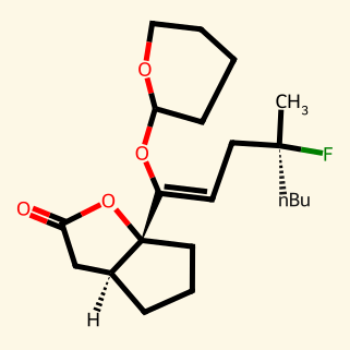 CCCC[C@](C)(F)CC=C(OC1CCCCO1)[C@@]12CCC[C@H]1CC(=O)O2